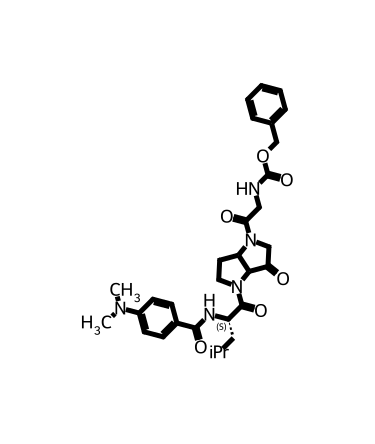 CC(C)C[C@H](NC(=O)c1ccc(N(C)C)cc1)C(=O)N1CCC2C1C(=O)CN2C(=O)CNC(=O)OCc1ccccc1